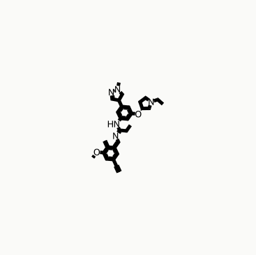 C#Cc1cc(OC)c(=C)/c(=C\N=C(/CC)Nc2cc(O[C@@H]3CCN(CC)C3)cc(C3C=NN(C)C3)c2)c1